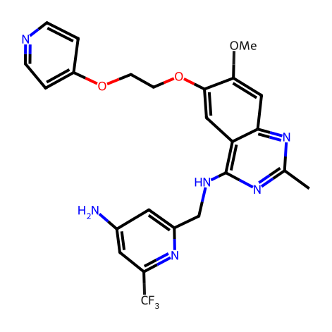 COc1cc2nc(C)nc(NCc3cc(N)cc(C(F)(F)F)n3)c2cc1OCCOc1ccncc1